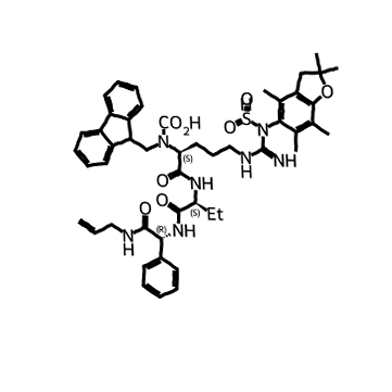 C=CCNC(=O)[C@H](NC(=O)[C@H](CC)NC(=O)[C@H](CCCNC(=N)N(c1c(C)c(C)c2c(c1C)CC(C)(C)O2)[SH](=O)=O)N(CC1c2ccccc2-c2ccccc21)C(=O)O)c1ccccc1